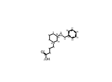 O=C(O)CCCN1CCC[C@@H](OCc2ccccc2)C1